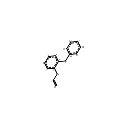 C=CCc1ccccc1Cc1ccccc1